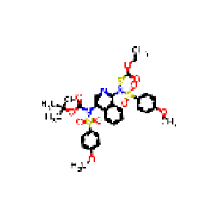 CCOC(=O)SN(c1ncc(N(C(=O)OC(C)(C)C)S(=O)(=O)c2ccc(OC)cc2)c2ccccc12)S(=O)(=O)c1ccc(OC)cc1